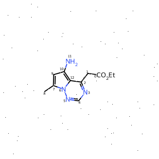 CCOC(=O)Cc1ncnn2c(C)cc(N)c12